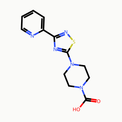 O=C(O)N1CCN(c2nc(-c3ccccn3)ns2)CC1